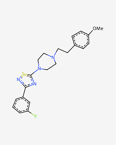 COc1ccc(CCN2CCN(c3nc(-c4cccc(F)c4)ns3)CC2)cc1